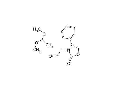 COC(C)OC.O=CCN1C(=O)OCC1c1ccccc1